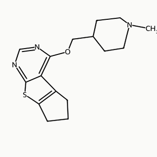 CN1CCC(COc2ncnc3sc4c(c23)CCC4)CC1